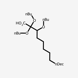 CCCCCCCCCCCCCCCC(OCCCC)C(OCCCC)(OCCCC)C(=O)O